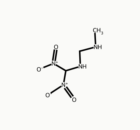 CNCNC([N+](=O)[O-])[N+](=O)[O-]